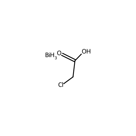 O=C(O)CCl.[BiH3]